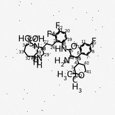 CC1(C)CC([C@H](c2ccc(F)cc2)[C@H](N)C(=O)Nc2ccc(F)c(F)c2CC[C@H]2CN[C@@H]3CCCS(O)(O)N2C3)CCO1